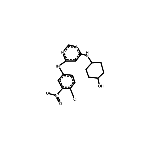 O=[N+]([O-])c1cc(Nc2cc(NC3CCC(O)CC3)ncn2)ccc1Cl